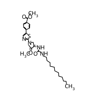 CCCCCCCCCCCCCNC(=O)N[C@H]1CN(c2ncc(-c3ccc(C(=O)OC)cc3)s2)C[C@@H]1OC